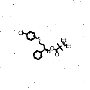 CCN(CC)C(C)(C)C(=O)O/N=C(\CCSc1ccc(Cl)cc1)c1ccccc1